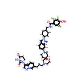 O=C1CCN(c2cnn3cc(CCCN4CCOC5(CCN(c6ccc7cn(C8CCC(CNC(=O)c9cc(F)c(O)c(F)c9F)CC8)nc7c6)CC5)C4)ccc23)C(=O)N1